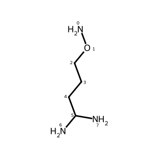 NOCCCC(N)N